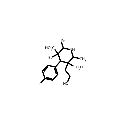 CCC1(C(=O)O)C(C(C)C)NC(C)C(CCC#N)(C(=O)O)C1c1ccc(F)cc1